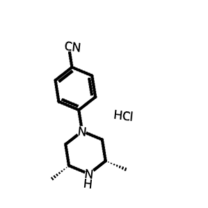 C[C@@H]1CN(c2ccc(C#N)cc2)C[C@H](C)N1.Cl